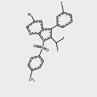 Cc1ccc(S(=O)(=O)n2c(C(F)F)c(-c3cccc(F)c3)c3cc(Br)cnc32)cc1